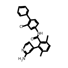 Cc1ccc(C)c(-c2ccnc(N)c2)c1C(=O)Nc1ccc(-c2ccccc2)c(Cl)c1